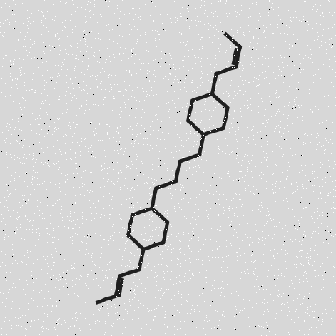 C/C=C\CC1CCC(CCCCC2CCC(C/C=C/C)CC2)CC1